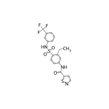 CCc1cc(NC(=O)c2ccns2)ccc1S(=O)(=O)Nc1cccc(C(F)(F)F)c1